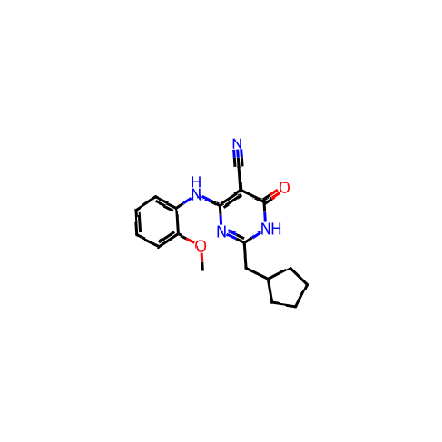 COc1ccccc1Nc1nc(CC2CCCC2)[nH]c(=O)c1C#N